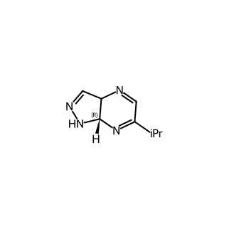 CC(C)C1=N[C@@H]2NN=CC2N=C1